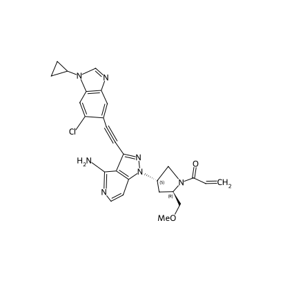 C=CC(=O)N1C[C@@H](n2nc(C#Cc3cc4ncn(C5CC5)c4cc3Cl)c3c(N)nccc32)C[C@@H]1COC